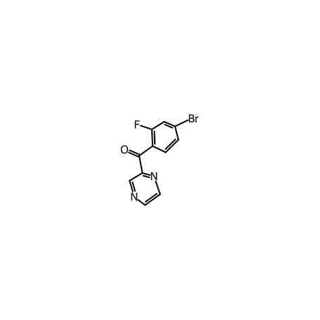 O=C(c1cnccn1)c1ccc(Br)cc1F